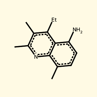 CCc1c(C)c(C)nc2c(C)ccc(N)c12